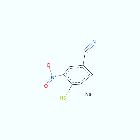 N#Cc1ccc(S)c([N+](=O)[O-])c1.[Na]